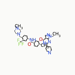 CCn1ncc2c(Oc3cc(C(=O)Nc4ccc(CN5CCN(C)CC5)c(C(F)(F)F)c4)ccc3C)nc(-c3ccncc3)nc21